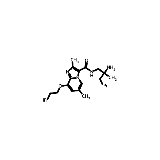 Cc1cc(OCCC(C)C)c2nc(C)c(C(=O)NCC(C)(N)CC(C)C)n2c1